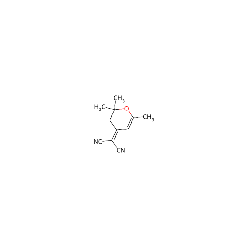 CC1=CC(=C(C#N)C#N)CC(C)(C)O1